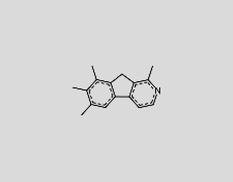 Cc1cc2c(c(C)c1C)Cc1c-2ccnc1C